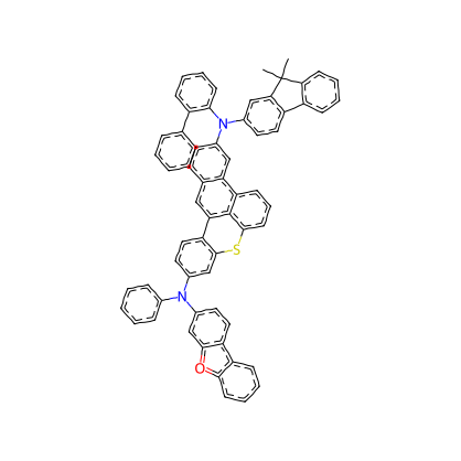 CC1(C)c2ccccc2-c2ccc(N(c3ccc4cc5c6c(cccc6c4c3)Sc3cc(N(c4ccccc4)c4ccc6c(c4)oc4ccccc46)ccc3-5)c3ccccc3-c3ccccc3)cc21